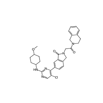 COC1CCC(Nc2ncc(Cl)c(-c3ccc4c(c3)C(=O)N(CC(=O)N3CCc5ccccc5C3)C4)n2)CC1